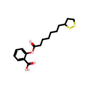 O=C(CCCCCCC1CCSS1)Oc1ccccc1C(=O)O